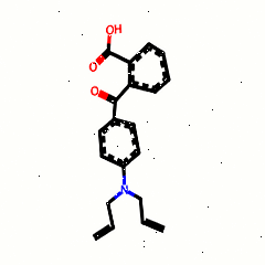 C=CCN(CC=C)c1ccc(C(=O)c2ccccc2C(=O)O)cc1